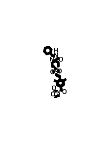 Cc1cc(C(=O)N2CCOC2=O)cc(C)c1C=CS(=O)(=O)N1CCC2(CC1)N=C(C1CCCCC1)NC2=O